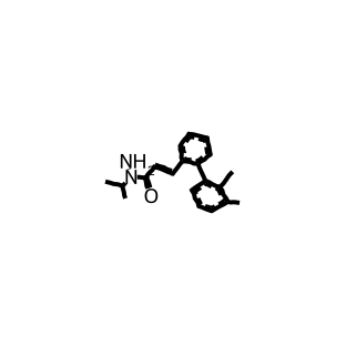 Cc1cccc(-c2ccccc2C=CC(=O)N(N)C(C)C)c1C